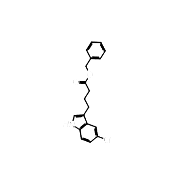 O=C(CCCc1c[nH]c2ccc(Cl)cc12)OCc1ccccc1